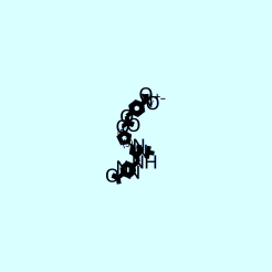 CC(=O)c1cnc(Nc2cc([C@H]3CC[C@@H](OC(=O)Oc4ccc([N+](=O)[O-])cc4)C3)nn2C(C)(C)C)cn1